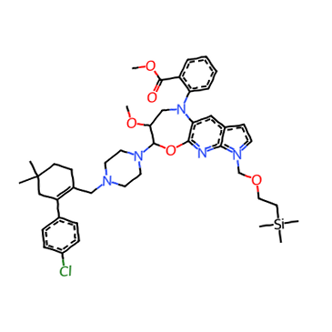 COC(=O)c1ccccc1N1CC(OC)C(N2CCN(CC3=C(c4ccc(Cl)cc4)CC(C)(C)CC3)CC2)Oc2nc3c(ccn3COCC[Si](C)(C)C)cc21